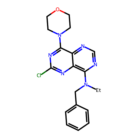 CCN(Cc1ccccc1)c1ncnc2c(N3CCOCC3)nc(Cl)nc12